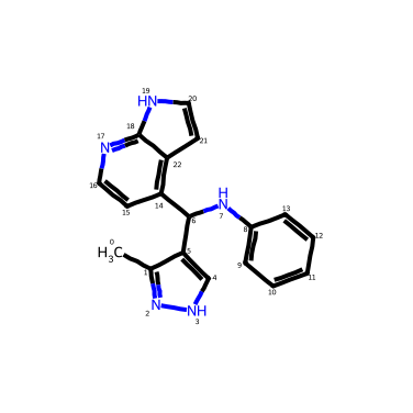 Cc1n[nH]cc1C(Nc1ccccc1)c1ccnc2[nH]ccc12